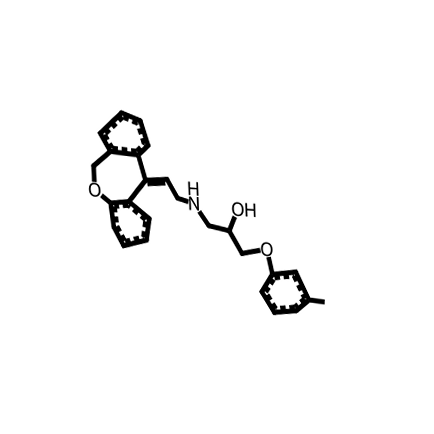 Cc1cccc(OCC(O)CNCC=C2c3ccccc3COc3ccccc32)c1